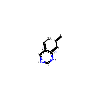 C=C/C=c1/ncnc/c1=C/CC